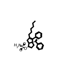 C=C(c1ccccc1)[C@@]12CC[C@H](OS(N)(=O)=O)C1CC(CCCCCC)=C2c1ccccc1